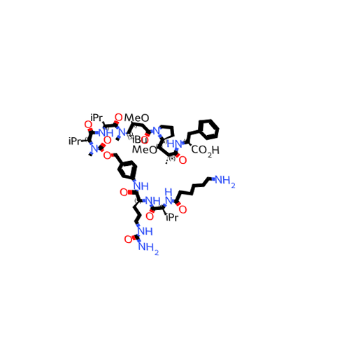 CC[C@H](C)[C@@H]([C@@H](CC(=O)N1CCC[C@H]1[C@H](OC)[C@@H](C)C(=O)N[C@@H](Cc1ccccc1)C(=O)O)OC)N(C)C(=O)[C@@H](NC(=O)[C@H](C(C)C)N(C)C(=O)OCc1ccc(NC(=O)[C@H](CCCNC(N)=O)NC(=O)[C@@H](NC(=O)CCCCCN)C(C)C)cc1)C(C)C